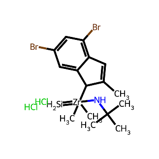 CC1=Cc2c(Br)cc(Br)cc2[CH]1[Zr]([CH3])([CH3])(=[SiH2])[NH]C(C)(C)C.Cl.Cl